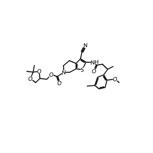 COc1ccc(C)cc1C(C)CC(=O)Nc1sc2c(c1C#N)CCN(C(=O)OCC1COC(C)(C)O1)C2